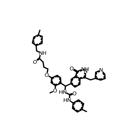 COc1cc(OCCCC(=O)NCc2ccc(C)cc2)ccc1C(NC(=O)Nc1ccc(C)cc1)c1ccc2c(Cc3cccnc3)n[nH]c(=O)c2c1